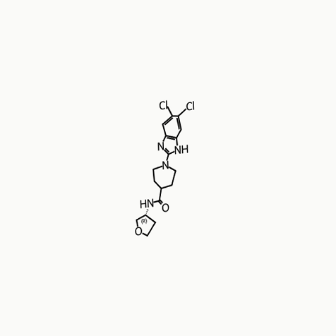 O=C(N[C@@H]1CCOC1)C1CCN(c2nc3cc(Cl)c(Cl)cc3[nH]2)CC1